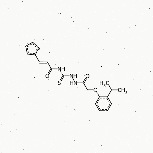 CC(C)c1ccccc1OCC(=O)NNC(=S)NC(=O)/C=C/c1cccs1